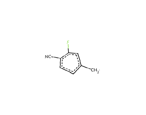 [CH2]c1ccc(C#N)c(F)c1